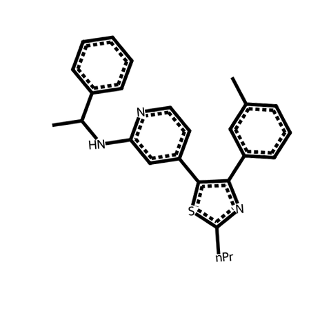 CCCc1nc(-c2cccc(C)c2)c(-c2ccnc(NC(C)c3ccccc3)c2)s1